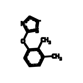 Cc1cccc(Oc2nc[c]s2)c1C